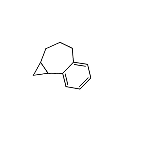 c1ccc2c(c1)CCCC1CC21